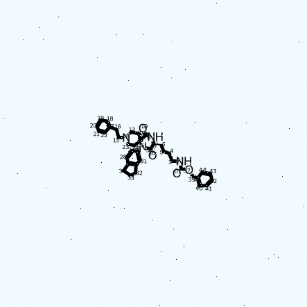 O=C(NCCCC[C@@H]1NC(=O)C2(CCN(CCc3ccccc3)CC2)N(c2ccc3c(c2)CCC3)C1=O)OCc1ccccc1